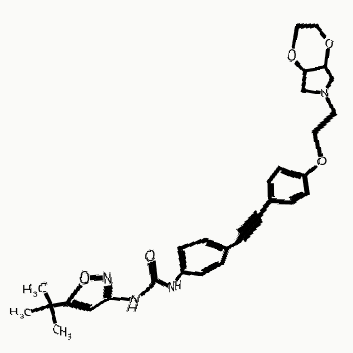 CC(C)(C)c1cc(NC(=O)Nc2ccc(C#Cc3ccc(OCCN4CC5OCCOC5C4)cc3)cc2)no1